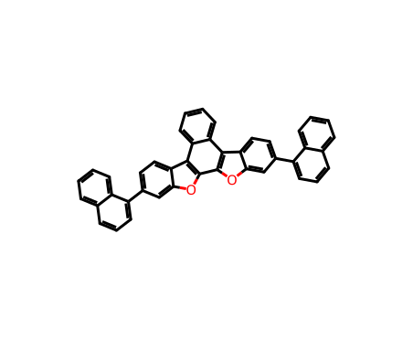 c1ccc2c(-c3ccc4c(c3)oc3c5oc6cc(-c7cccc8ccccc78)ccc6c5c5ccccc5c43)cccc2c1